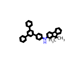 CC1(C)c2ccccc2-c2ccc(Nc3ccc(-c4cc(-c5ccccc5)cc(-c5ccccc5)c4)cc3)cc21